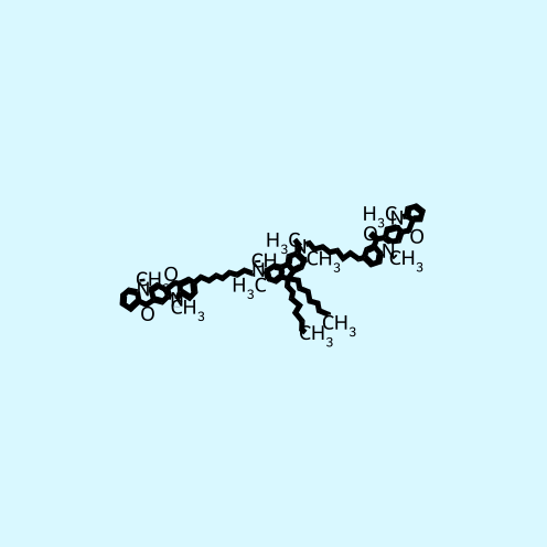 CCCCCCCCC1(CCCCCCCC)c2cc(C)c(N(C)CCCCCCCCc3ccc4c(c3)c(=O)c3cc5c(cc3n4C)c(=O)c3ccccc3n5C)cc2-c2cc(N(C)CCCCCCCCc3ccc4c(c3)c(=O)c3cc5c(cc3n4C)c(=O)c3ccccc3n5C)c(C)cc21